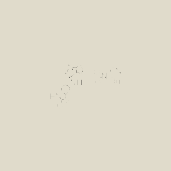 CCCCN(CC#N)C(=O)OC1CCc2c(sc3ncnc(Nc4ccc5[nH]c(=O)sc5c4)c23)C1